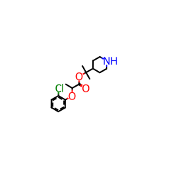 CC(Oc1ccccc1Cl)C(=O)OC(C)(C)C1CCNCC1